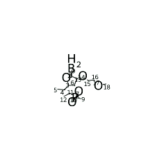 B[C@@H]1O[C@H](CC)C(OP(C)(=O)CC)[C@@H]1OCCOC